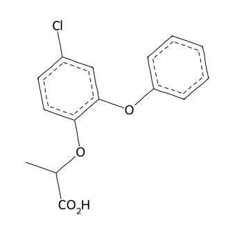 CC(Oc1ccc(Cl)cc1Oc1ccccc1)C(=O)O